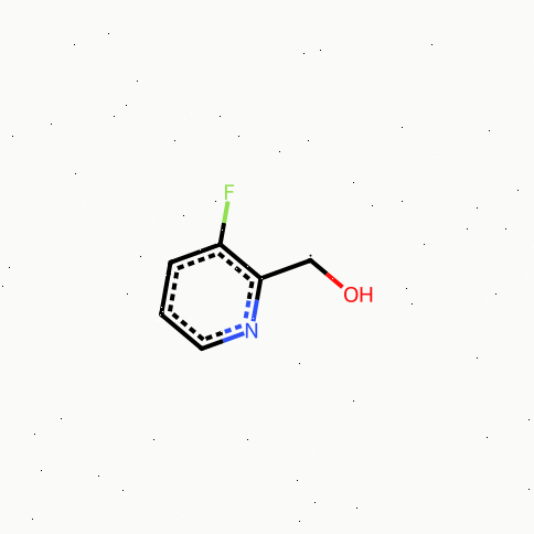 O[CH]c1ncccc1F